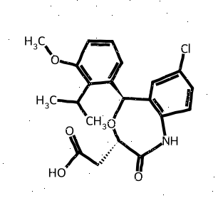 COc1cccc([C@@H]2O[C@@H](CC(=O)O)C(=O)Nc3ccc(Cl)cc32)c1C(C)C